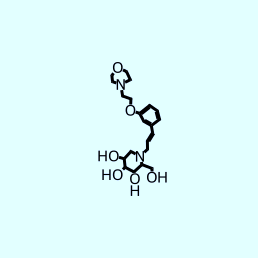 OCC1C(O)C(O)C(O)CN1C/C=C/c1cccc(OCCN2CCOCC2)c1